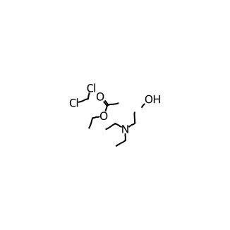 CCN(CC)CC.CCOC(C)=O.CO.ClCCl